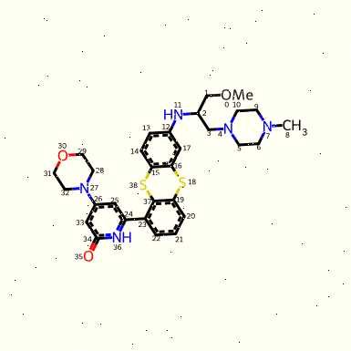 COCC(CN1CCN(C)CC1)Nc1ccc2c(c1)Sc1cccc(-c3cc(N4CCOCC4)cc(=O)[nH]3)c1S2